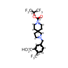 O=C(O)c1cc(CN2CCC3(CCN(C(=O)OC(C(F)(F)F)C(F)(F)F)CC3)C2)ccc1C(F)(F)F